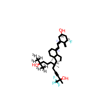 [2H]C([2H])([2H])C(O)(CCC[C@](C)(CC#CC(C)(O)C(F)(F)F)[C@H]1CCC2/C(=C/C=C3/C[C@@H](O)C[C@H](F)C3=C)CCC[C@@]21C)C([2H])([2H])[2H]